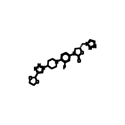 O=C1O[C@@H](Cn2ccnn2)CN1c1ccc(N2CCC(n3cc(C4OCCO4)nn3)CC2)c(F)c1